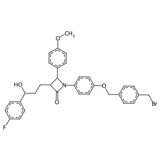 COc1ccc(C2C(CCC(O)c3ccc(F)cc3)C(=O)N2c2ccc(OCc3ccc(CBr)cc3)cc2)cc1